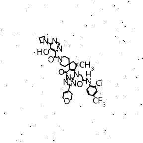 C[C@H]1CC2(CCN(C(=O)c3ncnc(N4CCC4)c3O)CC2)c2c1n(CC(=O)Nc1ccc(C(F)(F)F)cc1Cl)c1nc(C3=CCOCC3)nn1c2=O